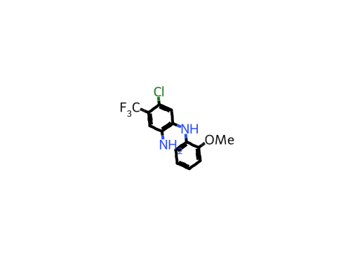 COc1ccccc1Nc1cc(Cl)c(C(F)(F)F)cc1N